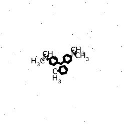 CN(C)c1ccc(Cc2ccc(N(C)C)cc2)cc1.Cc1ccccc1